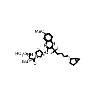 COc1ccc2nc(C(F)(F)CCCC[C@H]3CCC4CC43)c(O[C@H]3CN(C(=O)[C@@H](NC(=O)O)C(C)(C)C)C[C@@H]3C)nc2c1